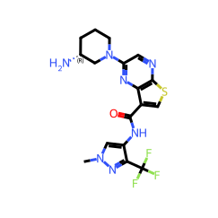 Cn1cc(NC(=O)c2csc3ncc(N4CCC[C@@H](N)C4)nc23)c(C(F)(F)F)n1